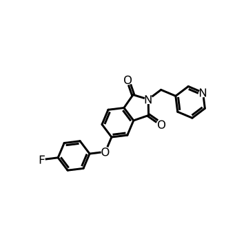 O=C1c2ccc(Oc3ccc(F)cc3)cc2C(=O)N1Cc1cccnc1